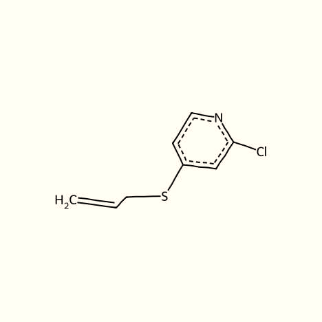 C=CCSc1ccnc(Cl)c1